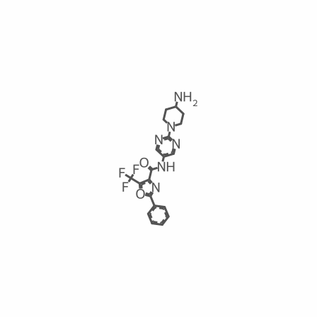 NC1CCN(c2ncc(NC(=O)c3nc(-c4ccccc4)oc3C(F)(F)F)cn2)CC1